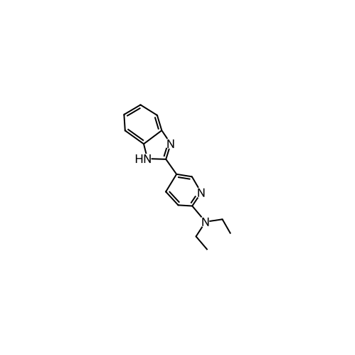 CCN(CC)c1ccc(-c2nc3ccccc3[nH]2)cn1